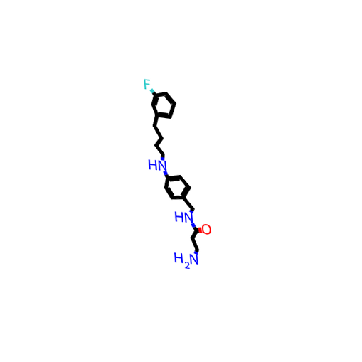 NCCC(=O)NCc1ccc(NCCCCc2cccc(F)c2)cc1